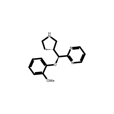 COc1ccccc1O[C@H](c1ncccn1)[C@@H]1CCNC1